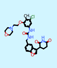 Cc1c(Cl)cc(NC(=O)NCc2ccc3occ(C4CCC(=O)NC4=O)c3c2)cc1OCCN1CCOCC1